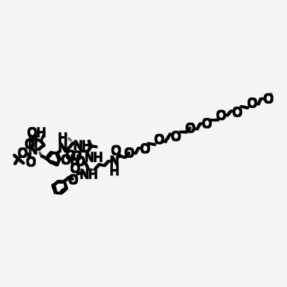 COCCOCCOCCOCCOCCOCCOCCOCCOCCOCC(=O)NCCCC[C@H](NC(=O)OCc1ccccc1)C(=O)N[C@H](C(=O)N[C@@H](C)C(=O)Nc1cc(C[C@@H](C[C@H](C)C(=O)O)NC(=O)OC(C)(C)C)ccc1O)C(C)C